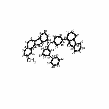 Cc1ccc2ccc3c4cccc(N(c5ccc(-c6cccc7c6oc6ccccc67)cc5)c5cccc(-c6ccccc6)c5)c4oc3c2c1